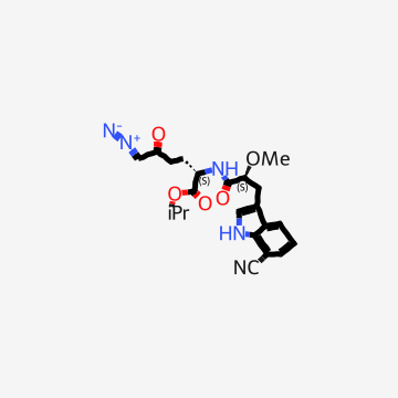 CO[C@@H](Cc1c[nH]c2c(C#N)cccc12)C(=O)N[C@@H](CCC(=O)C=[N+]=[N-])C(=O)OC(C)C